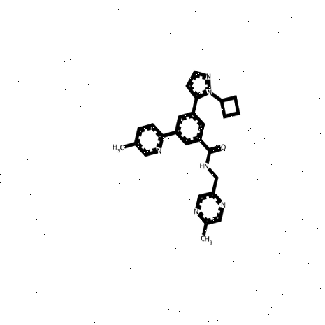 Cc1ccc(-c2cc(C(=O)NCc3cnc(C)cn3)cc(-c3ccnn3C3CCC3)c2)nc1